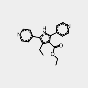 CCOC(=O)c1c(-c2ccncc2)[nH]c(-c2ccncc2)c1CC